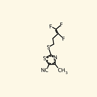 Cc1nc(SCCC(F)=C(F)F)sc1C#N